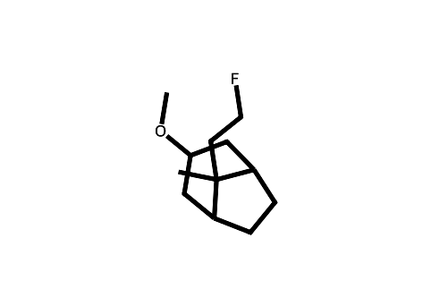 COC1CC2CCC(C1)C2(C)CCF